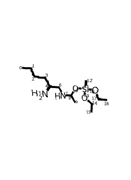 CCCCC(N)CNC(C)O[Si](C)(OCC)OCC